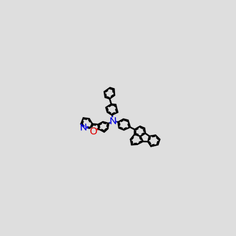 c1ccc(-c2ccc(N(c3ccc(-c4ccc5c6c(cccc46)-c4ccccc4-5)cc3)c3ccc4oc5ncccc5c4c3)cc2)cc1